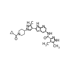 Cc1nn(C2CCN(C(=O)C3CC3)CC2)cc1-c1cc2cc(NC(=O)c3n[nH]c(C)c3C)cnc2[nH]1